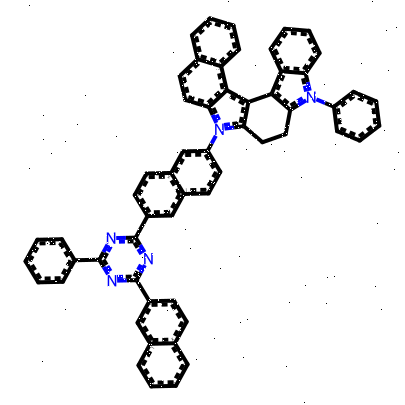 c1ccc(-c2nc(-c3ccc4ccccc4c3)nc(-c3ccc4cc(-n5c6c(c7c8ccccc8ccc75)-c5c(n(-c7ccccc7)c7ccccc57)CC6)ccc4c3)n2)cc1